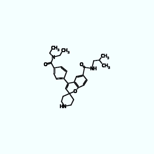 CCN(CC)C(=O)c1ccc(C2=CC3(CCNCC3)Oc3ccc(C(=O)NCC(C)C)cc32)cc1